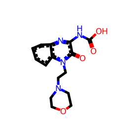 O=C(O)Nc1nc2ccccc2n(CCN2CCOCC2)c1=O